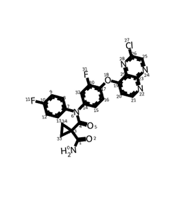 NC(=O)C1(C(=O)N(c2ccc(F)cc2)c2ccc(Oc3ccnc4ncc(Cl)nc34)c(F)c2)CC1